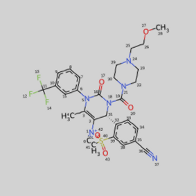 [C-]#[N+]C1=C(C)N(c2cccc(C(F)(F)F)c2)C(=O)N(C(=O)N2CCN(CCOC)CC2)[C@@H]1c1ccc(C#N)cc1S(C)(=O)=O